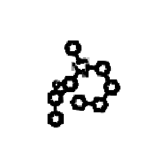 c1ccc(-c2cccc(-c3cccc(-c4cccc(-c5nc(-c6ccccc6)nc(-c6ccc7c(c6)oc6ccc(-c8ccccc8)cc67)n5)c4)c3)c2)cc1